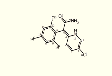 NC(=O)/C(=C1/C=CC(Cl)=NN1)c1c(F)cc(F)cc1F